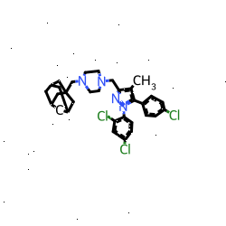 Cc1c(CN2CCN(CC34CC5CC(CC(C5)C3)C4)CC2)nn(-c2ccc(Cl)cc2Cl)c1-c1ccc(Cl)cc1